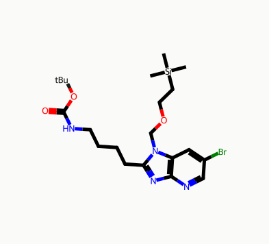 CC(C)(C)OC(=O)NCCCCc1nc2ncc(Br)cc2n1COCC[Si](C)(C)C